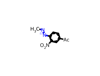 C/N=N/c1ccc(C(C)=O)cc1[N+](=O)[O-]